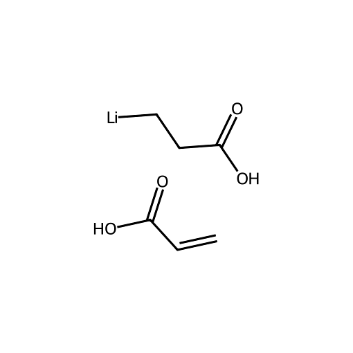 C=CC(=O)O.[Li][CH2]CC(=O)O